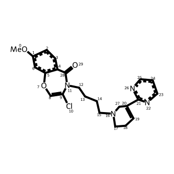 COc1ccc2c(c1)OC=C(Cl)N(CCCCN1CCC=C(c3ncccn3)C1)C2=O